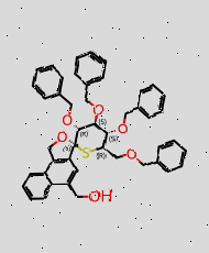 OCc1cc2c(c3ccccc13)CO[C@]21S[C@H](COCc2ccccc2)[C@@H](OCc2ccccc2)[C@H](OCc2ccccc2)[C@H]1OCc1ccccc1